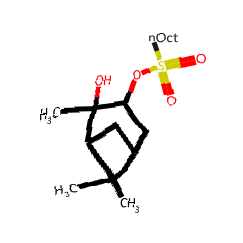 CCCCCCCCS(=O)(=O)OC1CC2CC(C2(C)C)C1(C)O